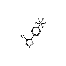 Cc1cscc1-c1ccc(S(F)(F)(F)(F)F)cc1